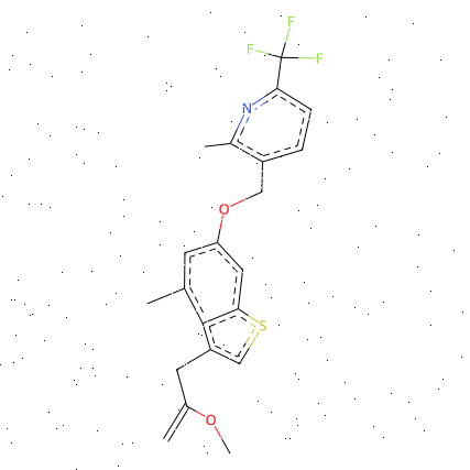 C=C(Cc1csc2cc(OCc3ccc(C(F)(F)F)nc3C)cc(C)c12)OC